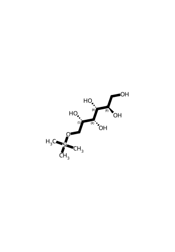 C[Si](C)(C)OC[C@H](O)[C@@H](O)[C@H](O)[C@H](O)CO